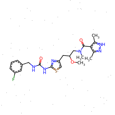 COC(Cc1csc(NC(=O)NCc2cccc(F)c2)n1)CN(C)C(=O)c1c(C)n[nH]c1C